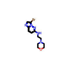 Brc1cnc2ccc(NCCN3CCOCC3)nn12